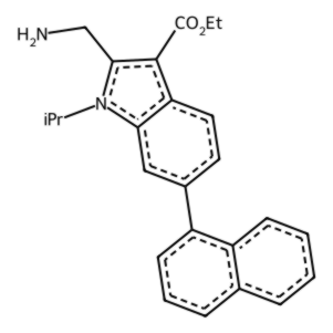 CCOC(=O)c1c(CN)n(C(C)C)c2cc(-c3cccc4ccccc34)ccc12